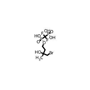 CC(O)(CBr)CCOP(=O)(O)C(F)(F)P(=O)(O)O